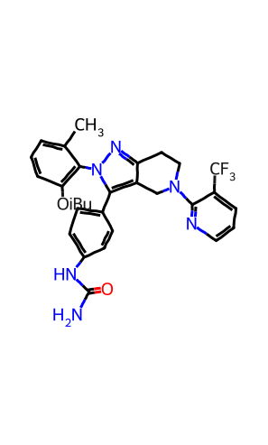 Cc1cccc(OCC(C)C)c1-n1nc2c(c1-c1ccc(NC(N)=O)cc1)CN(c1ncccc1C(F)(F)F)CC2